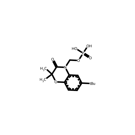 CC1(C)Oc2ccc(C(C)(C)C)cc2N(COP(=O)(O)O)C1=O